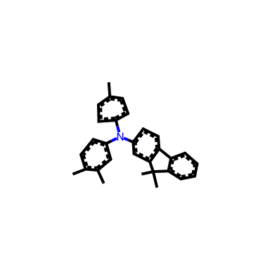 Cc1ccc(N(c2ccc(C)c(C)c2)c2ccc3c(c2)C(C)(C)c2ccccc2-3)cc1